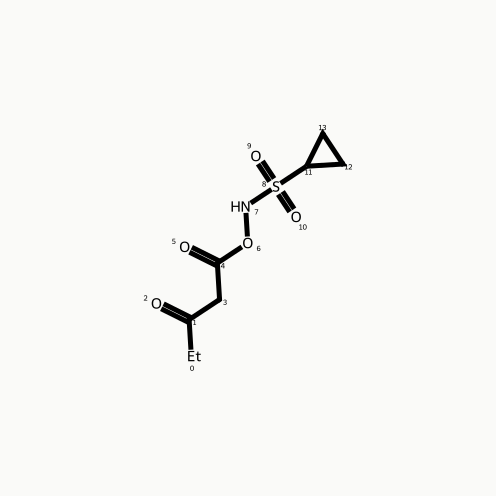 CCC(=O)CC(=O)ONS(=O)(=O)C1CC1